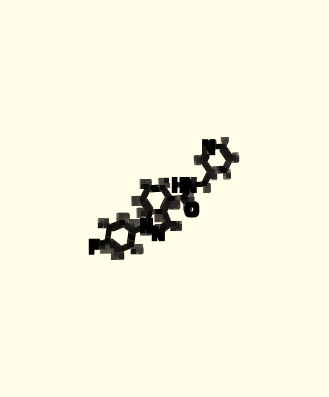 O=C(NCc1cccnc1)c1cccc2c1cnn2-c1ccc(F)cc1